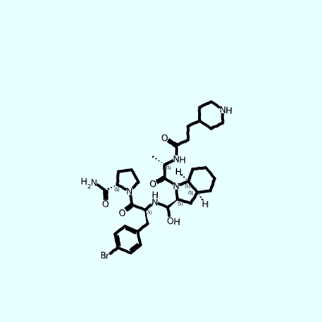 C[C@H](NC(=O)CCC1CCNCC1)C(=O)N1[C@H](C(O)N[C@@H](Cc2ccc(Br)cc2)C(=O)N2CCC[C@H]2C(N)=O)C[C@@H]2CCCC[C@@H]21